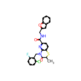 CC1Sc2ccc(C(=O)NCc3cc4ccccc4o3)nc2N(Cc2c(F)cccc2Cl)C1=O